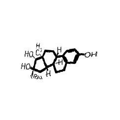 CCCC[C@]1(O)C[C@H]2[C@@H]3CCc4cc(O)ccc4[C@H]3CC[C@]2(C)[C@H]1O